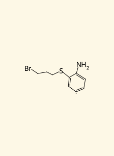 Nc1cc[c]cc1SCCCBr